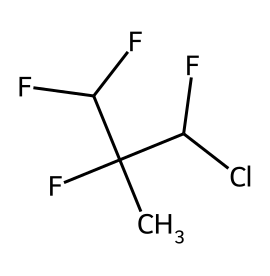 CC(F)(C(F)F)C(F)Cl